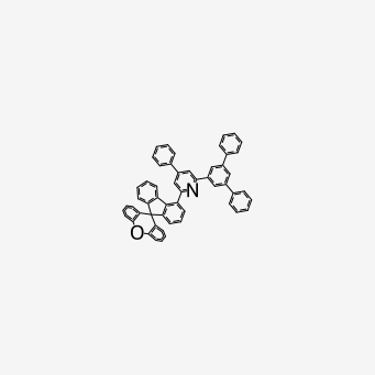 c1ccc(-c2cc(-c3ccccc3)cc(-c3cc(-c4ccccc4)cc(-c4cccc5c4-c4ccccc4C54c5ccccc5Oc5ccccc54)n3)c2)cc1